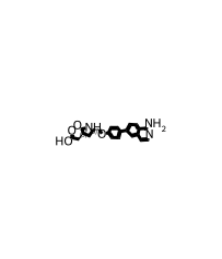 Nc1nccc2cc(-c3ccc(OC[C@@H]4C[C@@H](CC(=O)O)C(=O)N4)cc3)ccc12